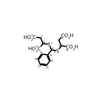 O=C(O)CC(SC(SC(CC(=O)O)C(=O)O)c1ccccc1)C(=O)O